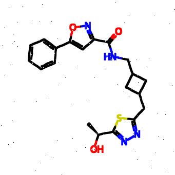 C[C@H](O)c1nnc(CC2CC(CNC(=O)c3cc(-c4ccccc4)on3)C2)s1